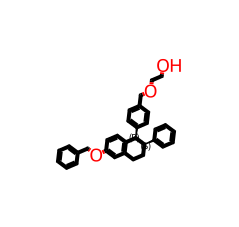 OCCOCc1ccc([C@@H]2c3ccc(OCc4ccccc4)cc3CC[C@@H]2c2ccccc2)cc1